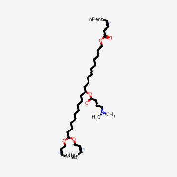 CCCCC/C=C\CC(=O)OCCCCCCCCCCC(CCCCCCCCCC(OC/C=C\CCCCCC)OC/C=C\CCCCCC)OC(=O)CCCN(C)C